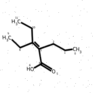 CCCC(C(=O)O)=C(CC)CC